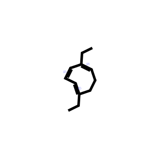 CCC1=C/CC/C(CC)=C/C=C\1